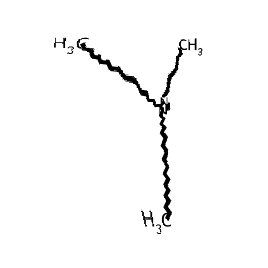 CCCCCCCCCCCCCCCCCCCN1C=CN(CCCCCCCC)C1CCCCCCCCCCCCCCCC